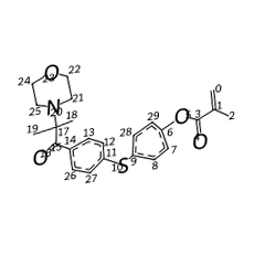 C=C(C)C(=O)Oc1ccc(Sc2ccc(C(=O)C(C)(C)N3CCOCC3)cc2)cc1